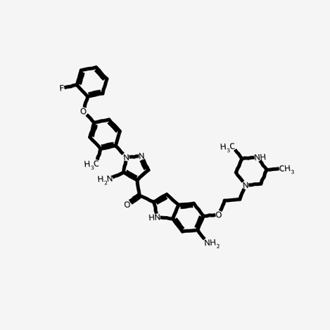 Cc1cc(Oc2ccccc2F)ccc1-n1ncc(C(=O)c2cc3cc(OCCN4CC(C)NC(C)C4)c(N)cc3[nH]2)c1N